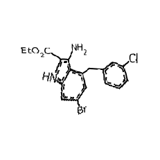 CCOC(=O)c1[nH]c2cc(Br)cc(Cc3cccc(Cl)c3)c2c1N